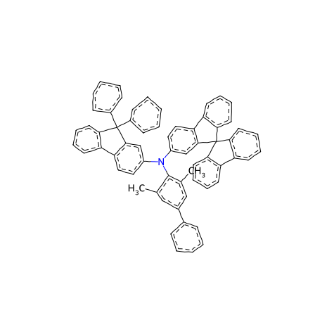 Cc1cc(-c2ccccc2)cc(C)c1N(c1ccc2c(c1)C(c1ccccc1)(c1ccccc1)c1ccccc1-2)c1ccc2c(c1)C1(c3ccccc3-c3ccccc31)c1ccccc1-2